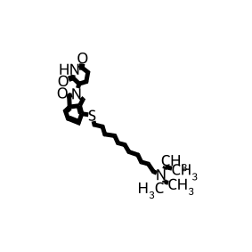 CC(C)N(CCCCCCCCCCCSc1cccc2c1CN(C1CCC(=O)NC1=O)C2=O)C(C)C